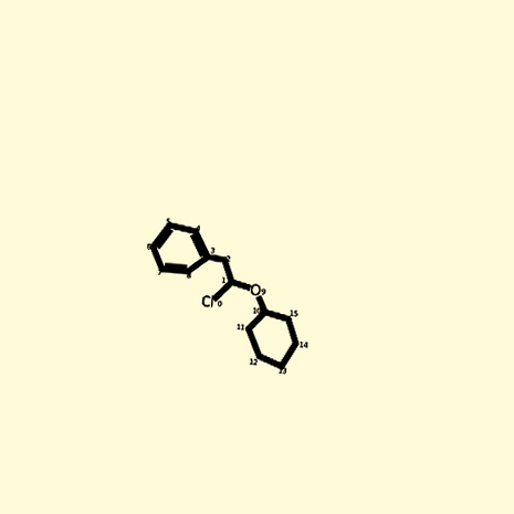 ClC(Cc1ccccc1)OC1CCCCC1